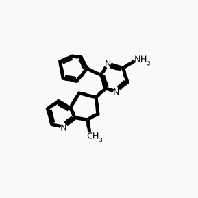 CC1CC(c2ncc(N)nc2-c2ccccc2)Cc2cccnc21